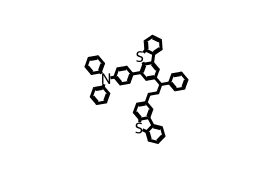 c1ccc(C(CCc2ccc3sc4ccccc4c3c2)c2cc(-c3ccc(N(c4ccccc4)c4ccccc4)cc3)c3sc4ccccc4c3c2)cc1